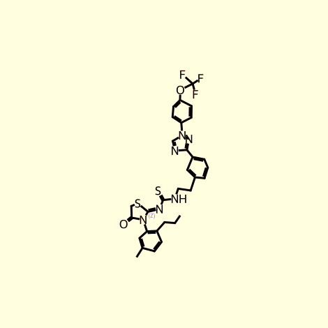 CCCc1ccc(C)cc1N1C(=O)CS/C1=N\C(=S)NCCc1cccc(-c2ncn(-c3ccc(OC(F)(F)F)cc3)n2)c1